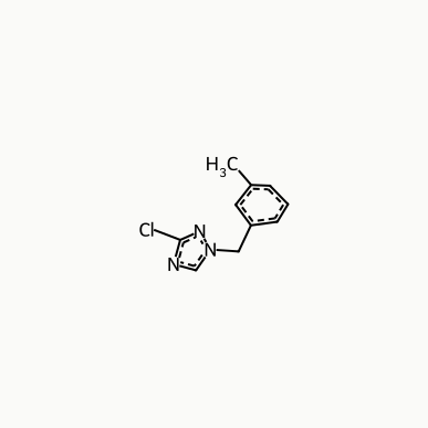 Cc1cccc(Cn2cnc(Cl)n2)c1